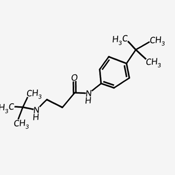 CC(C)(C)NCCC(=O)Nc1ccc(C(C)(C)C)cc1